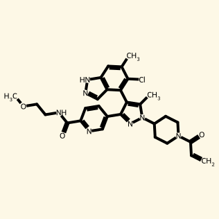 C=CC(=O)N1CCC(n2nc(-c3ccc(C(=O)NCCOC)nc3)c(-c3c(Cl)c(C)cc4[nH]ncc34)c2C)CC1